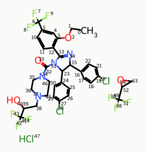 CCOc1cc(C(F)(F)F)ccc1C1=NC(c2ccc(Cl)cc2)C(c2ccc(Cl)cc2)N1C(=O)N1CCN(CC(O)C(F)(F)F)CC1.Cl.FC(F)(F)C1CO1